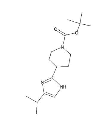 CC(C)c1c[nH]c(C2CCN(C(=O)OC(C)(C)C)CC2)n1